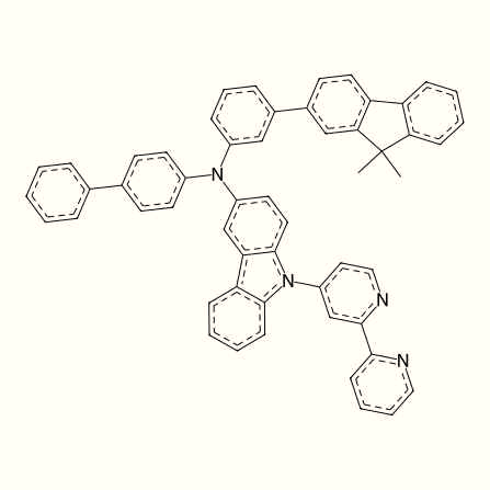 CC1(C)c2ccccc2-c2ccc(-c3cccc(N(c4ccc(-c5ccccc5)cc4)c4ccc5c(c4)c4ccccc4n5-c4ccnc(-c5ccccn5)c4)c3)cc21